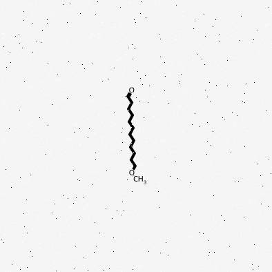 COCCCCCCCCCCC[C]=O